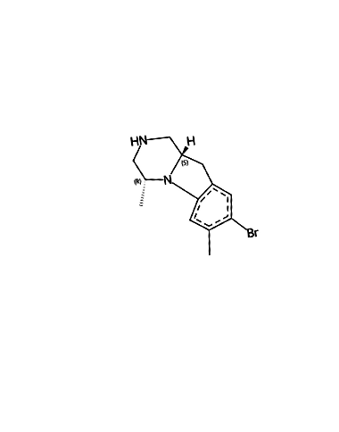 Cc1cc2c(cc1Br)C[C@H]1CNC[C@@H](C)N21